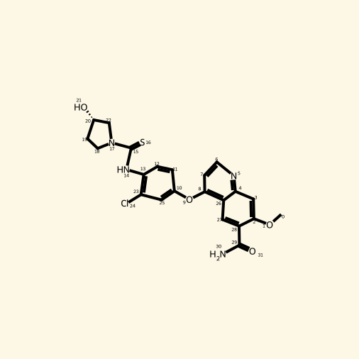 COc1cc2nccc(Oc3ccc(NC(=S)N4CC[C@H](O)C4)c(Cl)c3)c2cc1C(N)=O